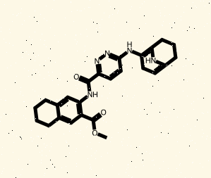 COC(=O)c1cc2c(cc1NC(=O)c1ccc(NC3=C4CCCC(=CC3)N4)nn1)CCCC2